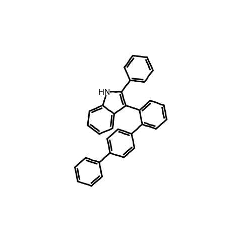 c1ccc(-c2ccc(-c3ccccc3-c3c(-c4ccccc4)[nH]c4ccccc34)cc2)cc1